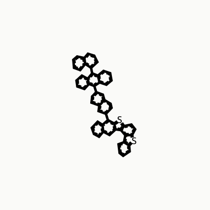 c1ccc2c(-c3c4ccccc4c(-c4ccc5cc(-c6c7ccccc7cc7c6sc6ccc8sc9ccccc9c8c67)ccc5c4)c4ccccc34)cccc2c1